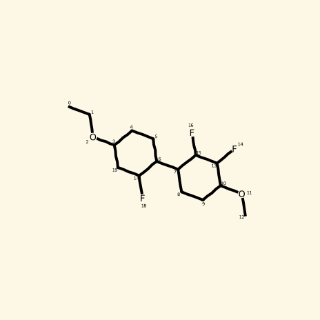 CCOC1CCC(C2CCC(OC)C(F)C2F)C(F)C1